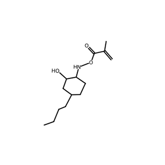 C=C(C)C(=O)ONC1CCC(CCCC)CC1O